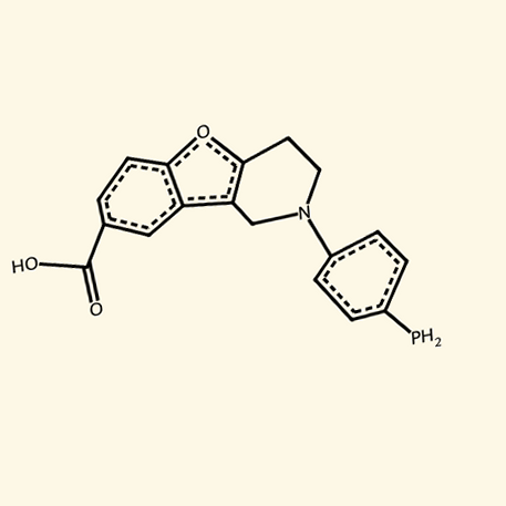 O=C(O)c1ccc2oc3c(c2c1)CN(c1ccc(P)cc1)CC3